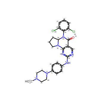 O=C(O)N1CCN(c2ccc(Nc3ncc4c(n3)N3CCCC3N(c3c(Cl)cccc3Cl)C4=O)cc2)CC1